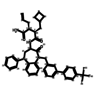 C=CC[C@H](C(N)=O)[C@@H](CC1CCC1)C(=O)NC1CN(c2ccccc2)c2ccccc2N(Cc2cccc(-c3ccc(C(F)(F)F)cc3)c2)C1=O